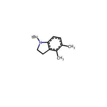 Cc1ccc2c(c1C)CCN2C(C)(C)C